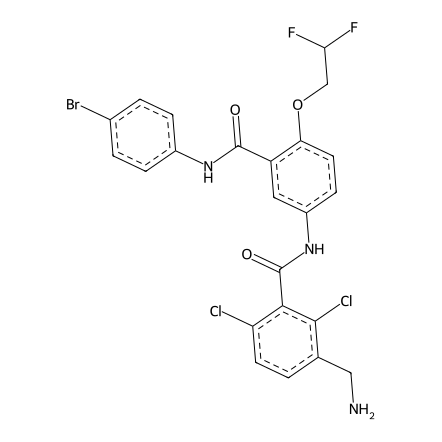 NCc1ccc(Cl)c(C(=O)Nc2ccc(OCC(F)F)c(C(=O)Nc3ccc(Br)cc3)c2)c1Cl